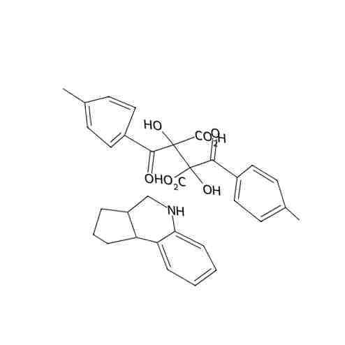 Cc1ccc(C(=O)C(O)(C(=O)O)C(O)(C(=O)O)C(=O)c2ccc(C)cc2)cc1.c1ccc2c(c1)NCC1CCCC21